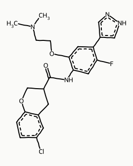 CN(C)CCOc1cc(-c2cn[nH]c2)c(F)cc1NC(=O)C1COc2ccc(Cl)cc2C1